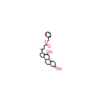 C[C@H](CCC(=O)OCc1ccccc1)C1CCC2C3CCC4C[C@H](O)CC[C@]4(C)C3C[C@H](O)[C@@]21C